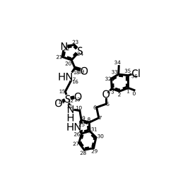 Cc1cc(OCCCc2c(CNS(=O)(=O)CCNC(=O)c3cncs3)[nH]c3ccccc23)cc(C)c1Cl